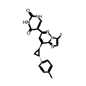 Cc1ccc([C@@H]2C[C@H]2c2cc(-c3c[nH]c(=O)[nH]c3=O)nn3c(F)cnc23)cc1